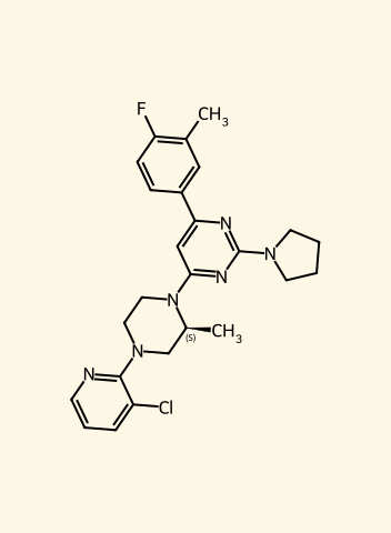 Cc1cc(-c2cc(N3CCN(c4ncccc4Cl)C[C@@H]3C)nc(N3CCCC3)n2)ccc1F